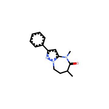 CC1CCn2nc(-c3ccccc3)cc2N(C)C1=O